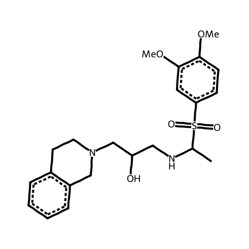 COc1ccc(S(=O)(=O)C(C)NCC(O)CN2CCc3ccccc3C2)cc1OC